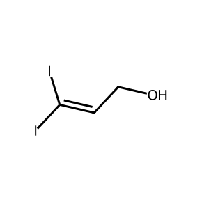 OCC=C(I)I